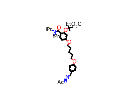 CCOC(=O)C(C)(C)Oc1cc(OCCCCCOc2ccc(CN=NC(C)=O)cc2)ccc1C(=O)N(C(C)C)C(C)C